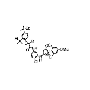 CCC(Oc1ccc(C(C)(C)CC)cc1C(C)(C)CC)C(=O)Nc1ccc(Cl)c(Nc2cc(=O)n(-c3c(Cl)cc(OC)cc3Cl)[nH]2)c1